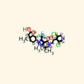 CC(C)(C)CN(CC(=O)c1c(Cl)cncc1Cl)C(=O)c1cnn([C@H]2CC[C@@](C)(CC(=O)O)CC2)c1C(F)(F)F